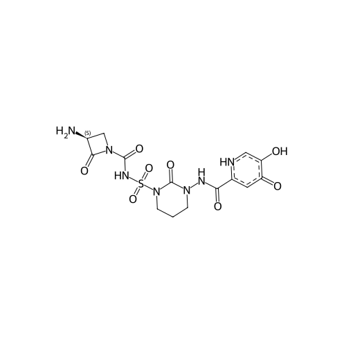 N[C@H]1CN(C(=O)NS(=O)(=O)N2CCCN(NC(=O)c3cc(=O)c(O)c[nH]3)C2=O)C1=O